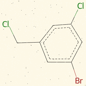 ClCc1cc(Cl)cc(Br)c1